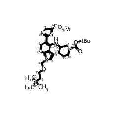 CCOC(=O)c1cnc(-c2cnc3c(ccn3COCC[Si](C)(C)C)c2NC2CCCN(C(=O)OC(C)(C)C)C2)s1